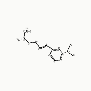 CC(C)c1cccc(/C=C/CC[C@H](C)O)c1